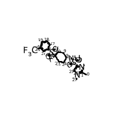 Cc1nc(S(=O)(=O)N[C@H]2CC[C@@](F)(S(=O)(=O)c3cccc(C(F)(F)F)c3)CC2)cn1C